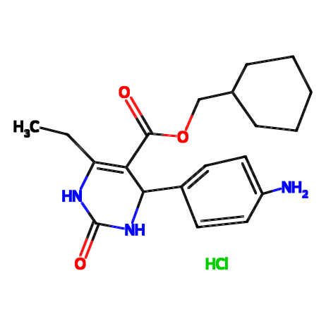 CCC1=C(C(=O)OCC2CCCCC2)C(c2ccc(N)cc2)NC(=O)N1.Cl